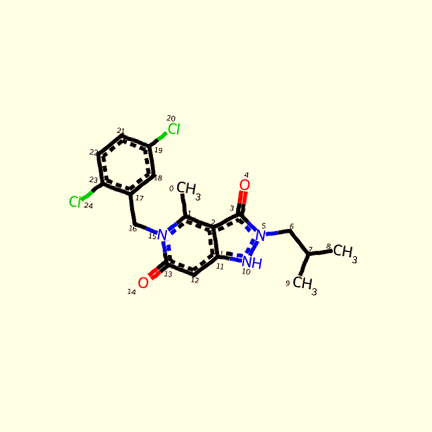 Cc1c2c(=O)n(CC(C)C)[nH]c2cc(=O)n1Cc1cc(Cl)ccc1Cl